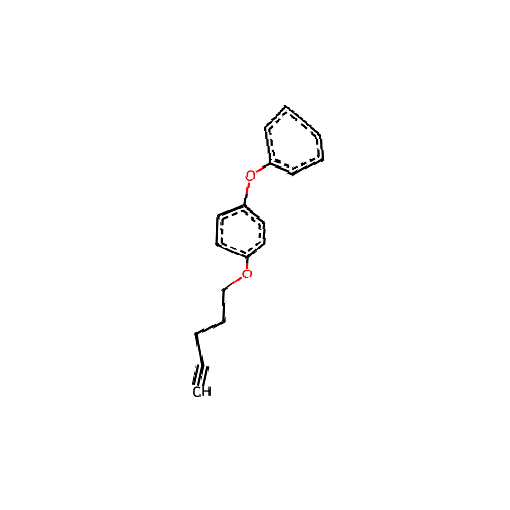 C#CCCCOc1ccc(Oc2ccccc2)cc1